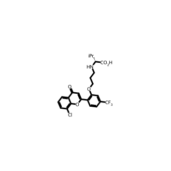 CC(C)[C@@H](NCCCOc1cc(C(F)(F)F)ccc1-c1cc(=O)c2cccc(Cl)c2o1)C(=O)O